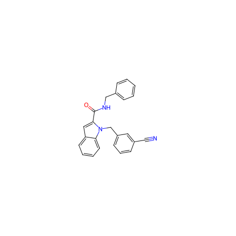 N#Cc1cccc(Cn2c(C(=O)NCc3ccccc3)cc3ccccc32)c1